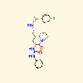 O=C(Nc1ccccc1)N[C@@H](CCCCNC1C[C@H]1c1ccc(F)cc1)C(=O)N1CCCCC1